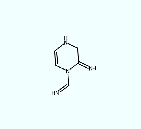 N=CN1C=CNCC1=N